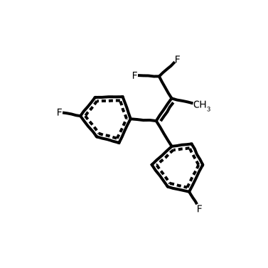 CC(=C(c1ccc(F)cc1)c1ccc(F)cc1)C(F)F